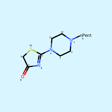 CCCCCN1CCN(C2=NC(=O)CS2)CC1